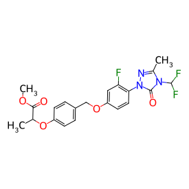 COC(=O)C(C)Oc1ccc(COc2ccc(-n3nc(C)n(C(F)F)c3=O)c(F)c2)cc1